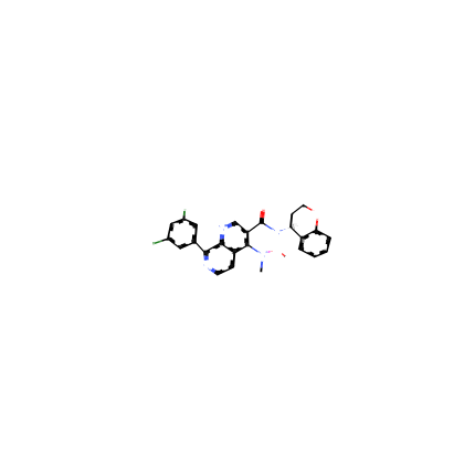 CON(C)c1c(C(=O)N[C@H]2CCOc3ccccc32)cnc2c(-c3cc(Cl)cc(Cl)c3)nccc12